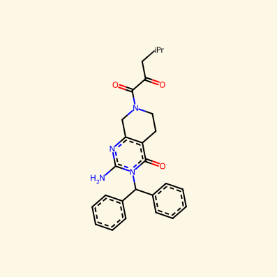 CC(C)CC(=O)C(=O)N1CCc2c(nc(N)n(C(c3ccccc3)c3ccccc3)c2=O)C1